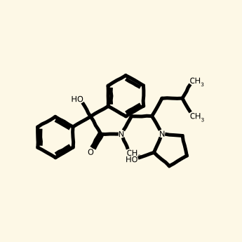 CC(C)CC(CN(C)C(=O)C(O)(c1ccccc1)c1ccccc1)N1CCCC1O